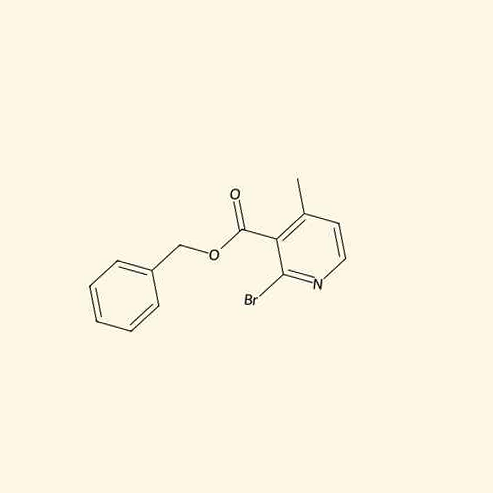 Cc1ccnc(Br)c1C(=O)OCc1ccccc1